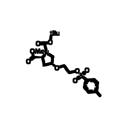 COC(=O)[C@@H]1C[C@H](OCCOS(=O)(=O)c2ccc(C)cc2)CN1C(=O)OC(C)(C)C